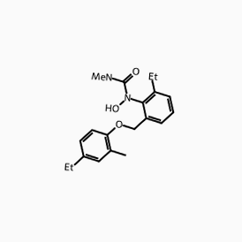 CCc1ccc(OCc2cccc(CC)c2N(O)C(=O)NC)c(C)c1